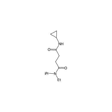 CCN(C(=O)CCC(=O)NC1CC1)C(C)C